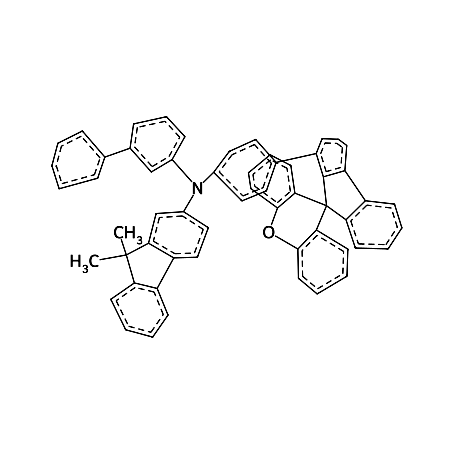 CC1(C)c2ccccc2-c2ccc(N(c3ccc(-c4cccc5c4C4(c6ccccc6Oc6ccccc64)c4ccccc4-5)cc3)c3cccc(-c4ccccc4)c3)cc21